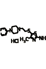 Cc1nc(N)sc1SCCN1CCN(c2ccccc2)CC1.Cl